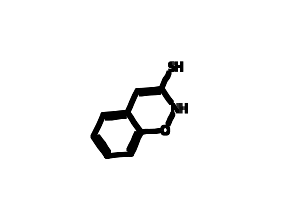 SC1=Cc2ccccc2ON1